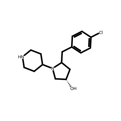 O[C@H]1CC(Cc2ccc(Cl)cc2)N(C2CCNCC2)C1